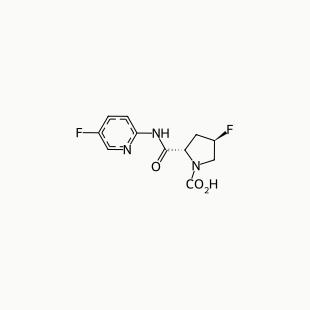 O=C(Nc1ccc(F)cn1)[C@@H]1C[C@@H](F)CN1C(=O)O